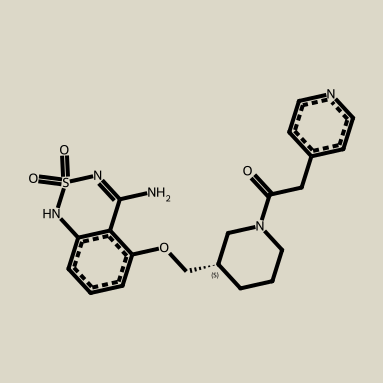 NC1=NS(=O)(=O)Nc2cccc(OC[C@H]3CCCN(C(=O)Cc4ccncc4)C3)c21